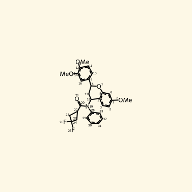 COc1ccc2c(c1)OC(c1ccc(OC)c(OC)c1)CC2N(C(=O)C1CC(F)(F)C1)c1ccccc1